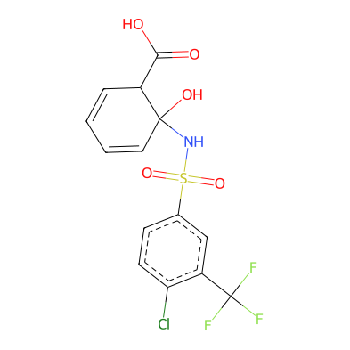 O=C(O)C1C=CC=CC1(O)NS(=O)(=O)c1ccc(Cl)c(C(F)(F)F)c1